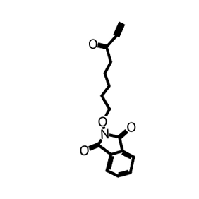 C#CC(=O)CCCCCON1C(=O)c2ccccc2C1=O